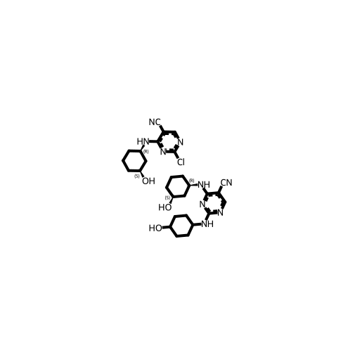 N#Cc1cnc(Cl)nc1N[C@@H]1CCC[C@H](O)C1.N#Cc1cnc(NC2CCC(O)CC2)nc1N[C@@H]1CCC[C@H](O)C1